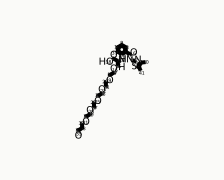 Cc1nc(NC(=O)c2ccccc2NC(COCCOCCOCCOCCOCCOCCC=O)C(=O)O)sc1C